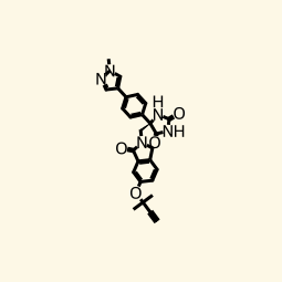 C#CC(C)(C)Oc1ccc2c(c1)C(=O)N(C[C@@]1(c3ccc(-c4cnn(C)c4)cc3)NC(=O)NC1=O)C2